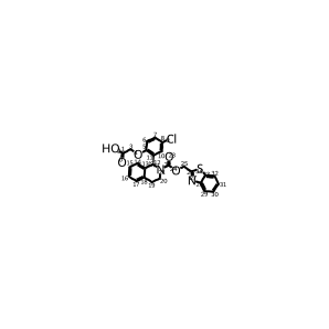 O=C(O)COc1ccc(Cl)cc1[C@@H]1c2ccccc2CCN1C(=O)OCc1nc2ccccc2s1